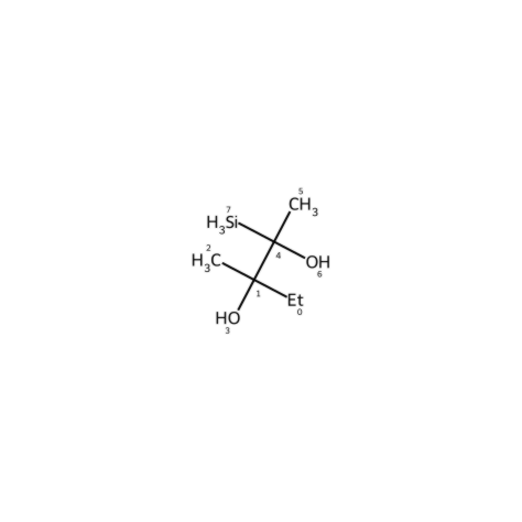 CCC(C)(O)C(C)(O)[SiH3]